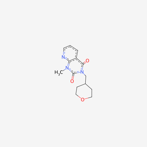 Cn1c(=O)n(CC2CCOCC2)c(=O)c2cccnc21